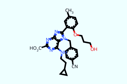 Cc1ccc(OCCCO)c(-c2nc3nc(C(=O)O)nc(NCCC4CC4)c3n2Cc2ccc(C#N)cc2)c1